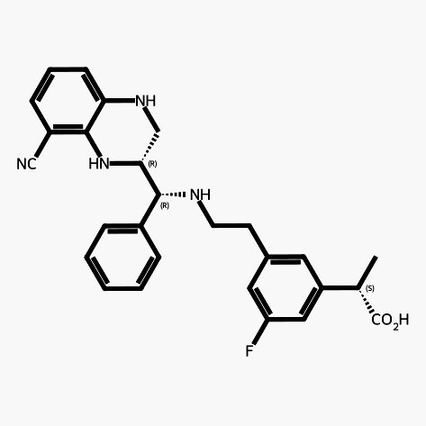 C[C@H](C(=O)O)c1cc(F)cc(CCN[C@H](c2ccccc2)[C@H]2CNc3cccc(C#N)c3N2)c1